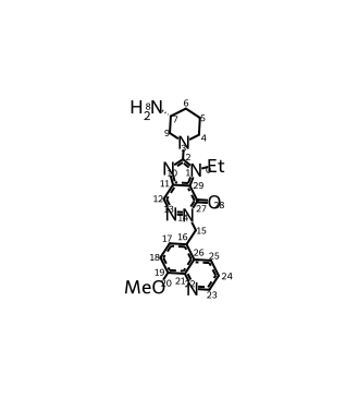 CCn1c(N2CCC[C@@H](N)C2)nc2cnn(Cc3ccc(OC)c4ncccc34)c(=O)c21